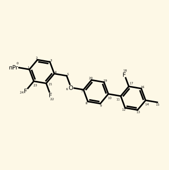 CCCc1ccc(COc2ccc(-c3ccc(C)cc3F)cc2)c(F)c1F